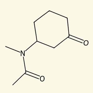 CC(=O)N(C)C1CCCC(=O)C1